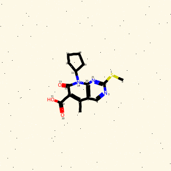 CSc1ncc2c(C)c(C(=O)O)c(=O)n(C3CCCC3)c2n1